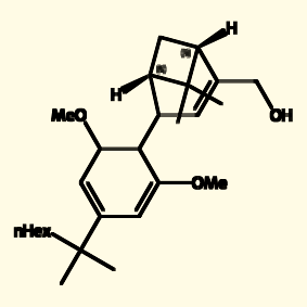 CCCCCCC(C)(C)C1=CC(OC)C(C2C=C(CO)[C@H]3C[C@@H]2C3(C)C)C(OC)=C1